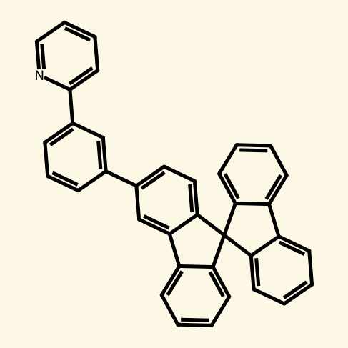 c1ccc(-c2cccc(-c3ccc4c(c3)-c3ccccc3C43c4ccccc4-c4ccccc43)c2)nc1